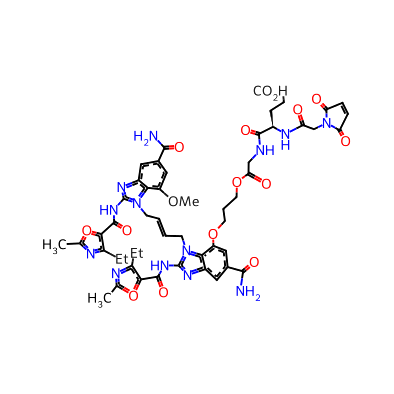 CCc1nc(C)oc1C(=O)Nc1nc2cc(C(N)=O)cc(OC)c2n1C/C=C/Cn1c(NC(=O)c2oc(C)nc2CC)nc2cc(C(N)=O)cc(OCCCOC(=O)CNC(=O)[C@@H](CCC(=O)O)NC(=O)CN3C(=O)C=CC3=O)c21